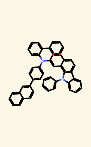 c1ccc(-c2ccccc2N(c2ccc(-c3ccc4ccccc4c3)cc2)c2ccc3ccc4c5ccccc5n(-c5ccccc5)c4c3c2)cc1